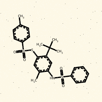 Cc1ccc(S(=O)(=O)Sc2cc(C)c(NS(=O)(=O)c3ccccc3)cc2C(C)(C)C)cc1